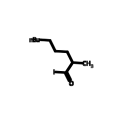 CCCCCCCC(C)C(=O)I